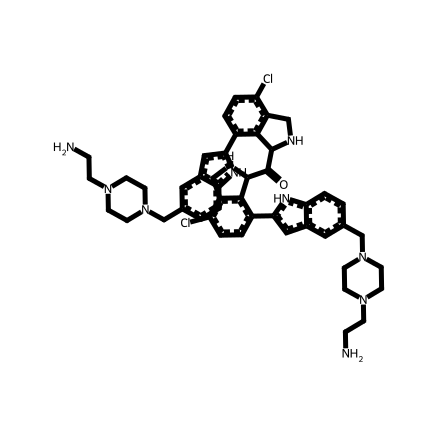 NCCN1CCN(Cc2ccc3[nH]c(-c4ccc(Cl)c5c4C(C(=O)C4NCc6c(Cl)ccc(-c7cc8cc(CN9CCN(CCN)CC9)ccc8[nH]7)c64)NC5)cc3c2)CC1